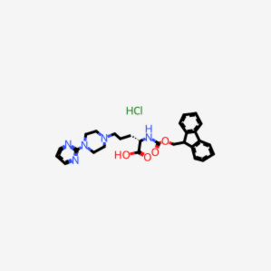 Cl.O=C(N[C@@H](CCCN1CCN(c2ncccn2)CC1)C(=O)O)OCC1c2ccccc2-c2ccccc21